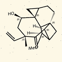 C=C[C@]1(C)C[C@@H](O)[C@]23CC2CC[C@@]24CC([C@@H](OC)C23)[C@H]4C1=O